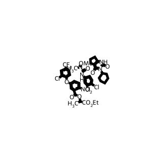 CCOC(=O)C(C)OC(=O)c1cc(Oc2ccc(C(F)(F)F)cc2Cl)ccc1[N+](=O)[O-].CON(C)C(=O)Nc1ccc(Cl)c(Cl)c1.O=c1[nH]c2c(c(=O)n1C1CCCCC1)CCC2